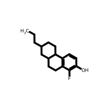 CCCC1CCC2c3ccc(O)c(F)c3CCC2C1